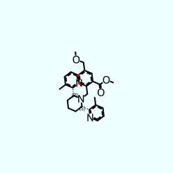 COCc1ccc(CN2[C@@H](c3ncccc3C)CCC[C@H]2c2ncccc2C)c(C(=O)OC)c1